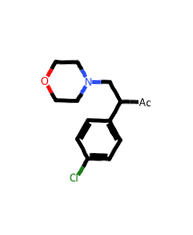 CC(=O)C(CN1CCOCC1)c1ccc(Cl)cc1